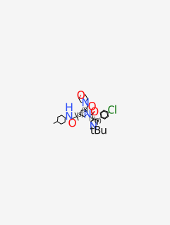 CC1CCC(NC(=O)C(C)(C)[C@@H]2C[C@@H](C(=O)N3CCOCC3)N(C(=O)[C@@H]3CN(C(C)(C)C)C[C@H]3c3ccc(Cl)cc3)C2)CC1